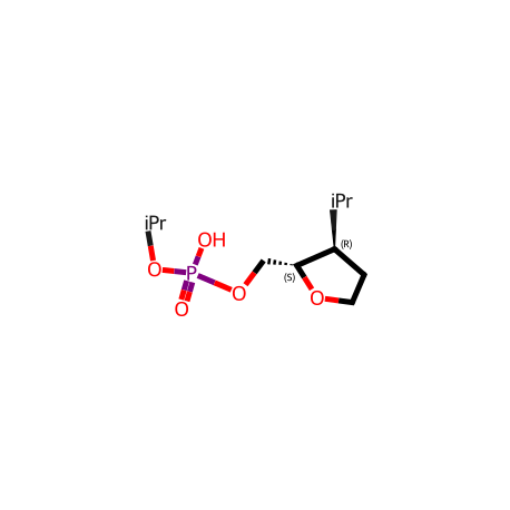 CC(C)OP(=O)(O)OC[C@H]1OCC[C@@H]1C(C)C